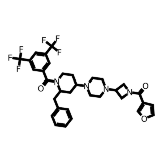 O=C(c1ccoc1)N1CC(N2CCN(C3CCN(C(=O)c4cc(C(F)(F)F)cc(C(F)(F)F)c4)C(Cc4ccccc4)C3)CC2)C1